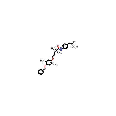 CCC(=Cc1ccc(NC(=O)C(C)(C)CCCOc2cc(C)c(OCc3ccccc3)cc2C)cc1)C(=O)O